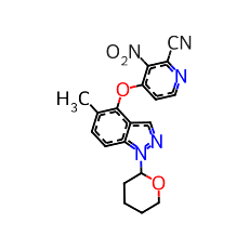 Cc1ccc2c(cnn2C2CCCCO2)c1Oc1ccnc(C#N)c1[N+](=O)[O-]